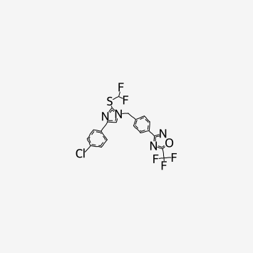 FC(F)Sc1nc(-c2ccc(Cl)cc2)cn1Cc1ccc(-c2noc(C(F)(F)F)n2)cc1